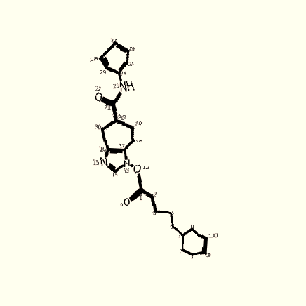 O=C(CCCCC1CCCCC1)On1cnc2c1CCC(C(=O)Nc1ccccc1)C2